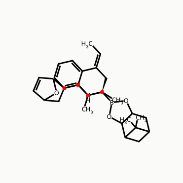 C/C=C(/C[C@H](NSC1CC2C=CC1O2)B1OC2CC3CC(C2O1)C3(C)C)c1ccccc1C(C)CC